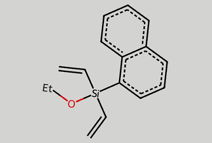 C=C[Si](C=C)(OCC)c1cccc2ccccc12